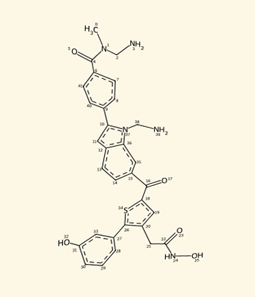 CN(CN)C(=O)c1ccc(-c2cc3ccc(C(=O)c4cc(CC(=O)NO)c(-c5cccc(O)c5)s4)cc3n2CN)cc1